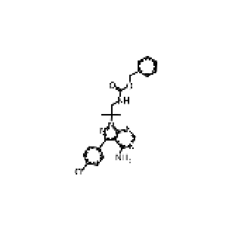 CC(C)(CNC(=O)OCc1ccccc1)n1nc(-c2ccc(Cl)cc2)c2c(N)ncnc21